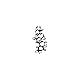 CC1CC[C@@]2(C)C(CC[C@]3(C)C2C(=O)C=C2C4CC(C)(C)CC[C@]4(C)CC[C@]23C)C1(C)C